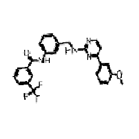 COc1cccc(-c2ccnc(NCc3cccc(NC(=O)c4cccc(C(F)(F)F)c4)c3)n2)c1